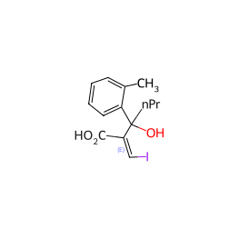 CCCC(O)(/C(=C\I)C(=O)O)c1ccccc1C